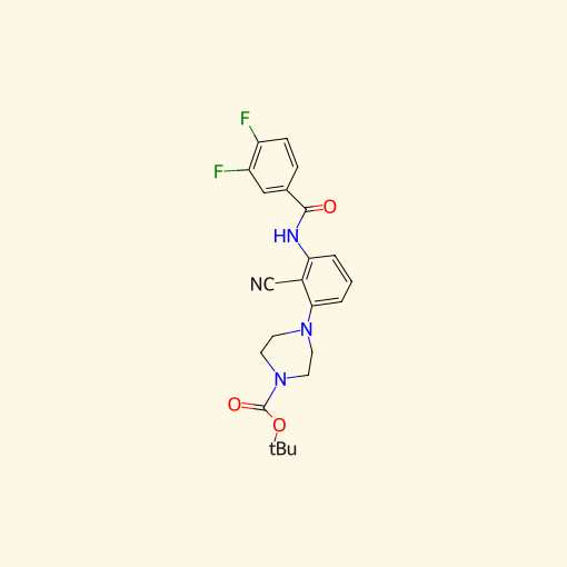 CC(C)(C)OC(=O)N1CCN(c2cccc(NC(=O)c3ccc(F)c(F)c3)c2C#N)CC1